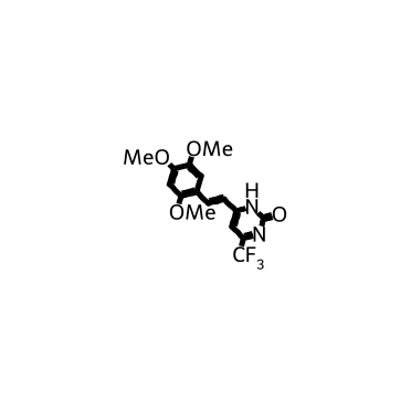 COc1cc(OC)c(OC)cc1/C=C/c1cc(C(F)(F)F)nc(=O)[nH]1